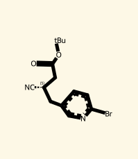 CC(C)(C)OC(=O)C[C@@H](C#N)Cc1ccc(Br)nc1